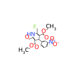 CCOC(=O)C1=C(C=O)NC(CF)=C(C(=O)OCC)C1c1cccc([N+](=O)[O-])c1